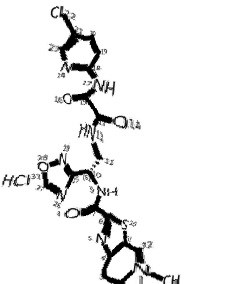 CN1CCc2nc(C(=O)N[C@@H](CNC(=O)C(=O)Nc3ccc(Cl)cn3)c3ncon3)sc2C1.Cl